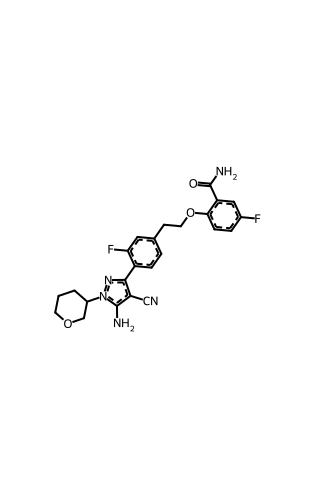 N#Cc1c(-c2ccc(CCOc3ccc(F)cc3C(N)=O)cc2F)nn(C2CCCOC2)c1N